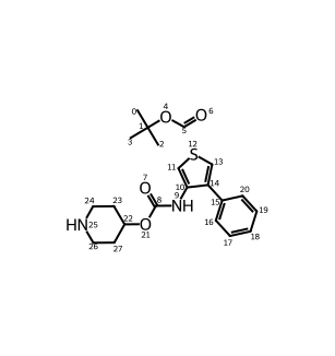 CC(C)(C)OC=O.O=C(Nc1cscc1-c1ccccc1)OC1CCNCC1